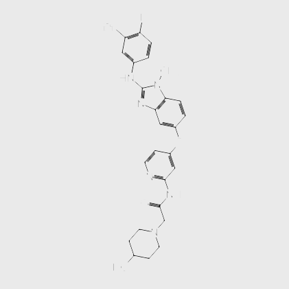 CC1CCN(CC(=O)Nc2cc(Oc3ccc4c(c3)nc(Nc3ccc(F)c(C(C)C)c3)n4C)ccn2)CC1